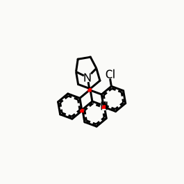 Clc1ccccc1C(c1ccccc1)N1C2CCC1CC(c1ccccn1)C2